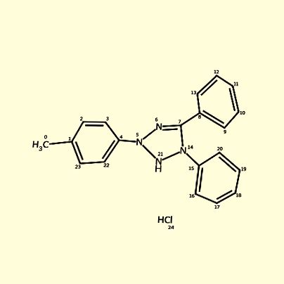 Cc1ccc(N2N=C(c3ccccc3)N(c3ccccc3)N2)cc1.Cl